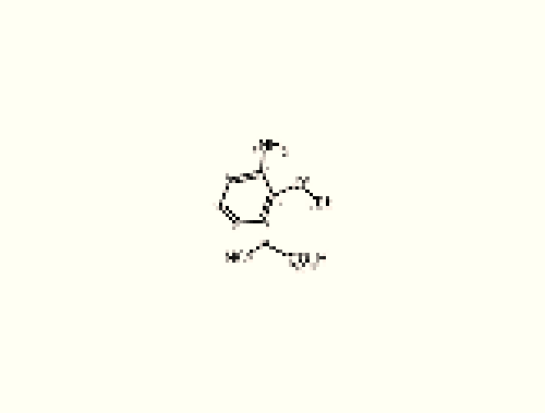 CCOc1ccccc1N.N#CCC(=O)O